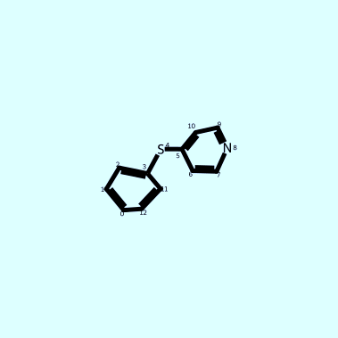 c1ccc(Sc2ccncc2)cc1